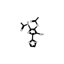 CC(=O)Nc1oc(-c2nccs2)c(O)c1OC(C)=O